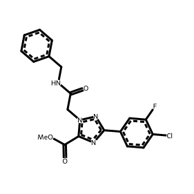 COC(=O)c1nc(-c2ccc(Cl)c(F)c2)nn1CC(=O)NCc1ccccc1